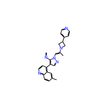 C=Nc1c(-c2ccnc3ccc(C)cc23)cnn1/C=C(\C)N1CC(c2ccncc2)C1